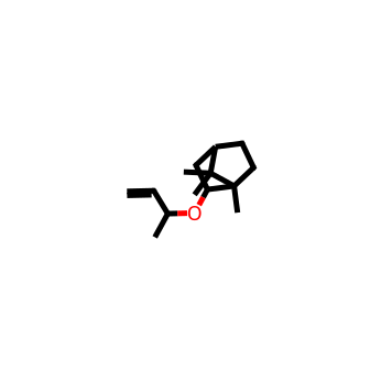 C=CC(C)OC1CC2CCC1(C)C2(C)C